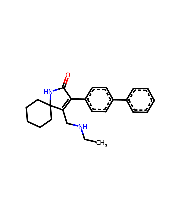 CCNCC1=C(c2ccc(-c3ccccc3)cc2)C(=O)NC12CCCCC2